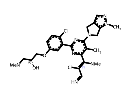 CNC[C@@H](O)COc1ccc(Cl)c(-c2nc(/C(NC)=C(\Cl)C=N)c(C)c(N3Cc4cnn(C)c4C3)n2)c1